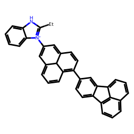 CCc1[nH]c2ccccc2[n+]1C1=CC2=CC=CC3=C(c4ccc5c(c4)-c4cccc6cccc-5c46)C=CC(=C1)C23